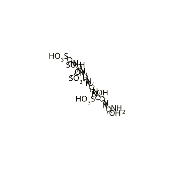 Cc1cc(N=Nc2cc(C)c(N=Nc3ccc(S(=O)(=O)O)cc3S(=O)(=O)O)cc2OCCCS(=O)(=O)O)c(C)cc1N=Nc1cc(C)c(N=Nc2c(S(=O)(=O)O)cc3cc(N=Nc4cc(C)c(O)c(N)c4)ccc3c2O)cc1C